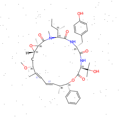 CC[C@H](C)[C@H]1C(=O)N[C@H](Cc2ccc(O)cc2)C(=O)N[C@@H](C(C)(C)O)C(=O)O[C@H](c2ccccc2)[C@H](C)/C=C/C=C(\C)[C@H](OC)C[C@@H]2O[C@@]2(C)C(=O)N1C